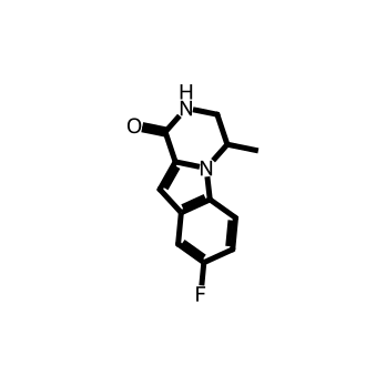 CC1CNC(=O)c2cc3cc(F)ccc3n21